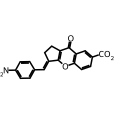 Nc1ccc(C=C2CCc3c2oc2ccc(C(=O)O)cc2c3=O)cc1